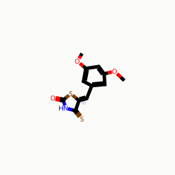 COc1cc(/C=C2\SC(=O)NC2=S)cc(OC)c1